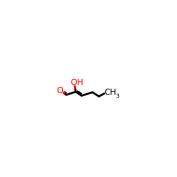 CCCC=C(O)C=O